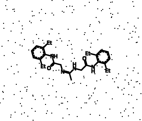 CCc1cccc(CC)c1NC(=O)CN=C(C)NCC(=O)Nc1c(CC)cccc1CC